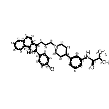 CC(C)C(=O)Nc1cccc(C2CCN(CCCc3c(-c4ccc(Cl)cc4)[nH]c4c3ccc3ccccc34)CC2)c1